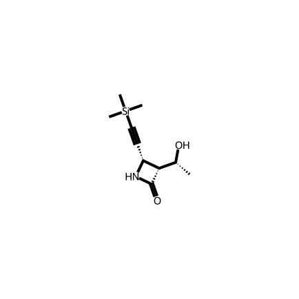 C[C@@H](O)[C@@H]1C(=O)N[C@@H]1C#C[Si](C)(C)C